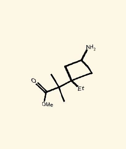 CCC1(C(C)(C)C(=O)OC)CC(N)C1